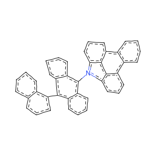 c1ccc2c(-c3c4ccccc4c(-n4c5cccc6c7ccccc7c7cccc4c7c65)c4ccccc34)cccc2c1